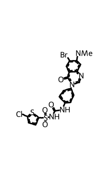 CNc1cc2ncn(-c3ccc(NC(=O)NS(=O)(=O)c4ccc(Cl)s4)cc3)c(=O)c2cc1Br